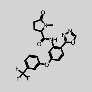 CN1C(=O)CCC1C(=O)Nc1cc(Oc2cccc(C(F)(F)F)c2)ccc1-c1nnco1